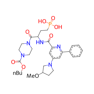 CCCCOC(=O)N1CCN(C(=O)C(CCP(=O)(O)O)NC(=O)c2cc(N3CCC(OC)C3)cc(-c3ccccc3)n2)CC1